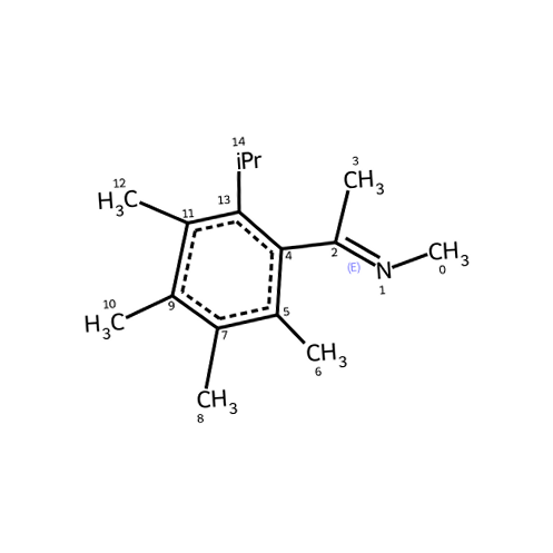 C/N=C(\C)c1c(C)c(C)c(C)c(C)c1C(C)C